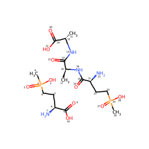 CP(=O)(O)CC[C@H](N)C(=O)O.C[C@H](NC(=O)[C@H](C)NC(=O)[C@@H](N)CCP(C)(=O)O)C(=O)O